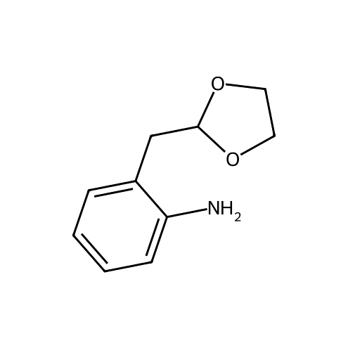 Nc1ccccc1CC1OCCO1